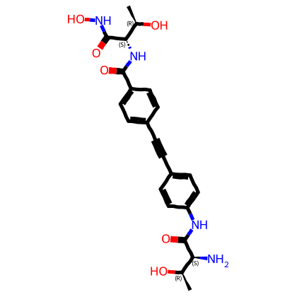 C[C@@H](O)[C@H](N)C(=O)Nc1ccc(C#Cc2ccc(C(=O)N[C@H](C(=O)NO)[C@@H](C)O)cc2)cc1